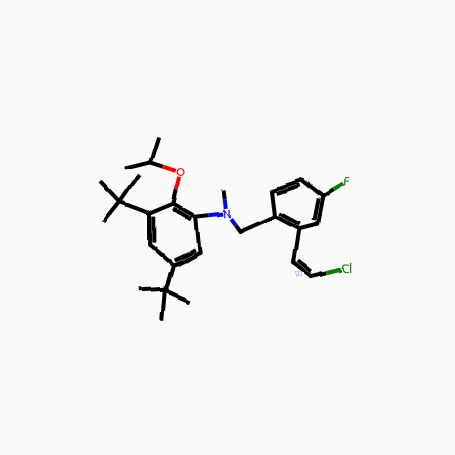 CC(C)Oc1c(N(C)Cc2ccc(F)cc2/C=C\Cl)cc(C(C)(C)C)cc1C(C)(C)C